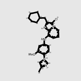 COc1cc(Nc2cccn3c(Cl)c(CC4CCCCC4)nc23)ccc1-n1cnc(C)c1